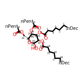 CCCCCCCCCCCCCCCC(=O)O[C@@H]1[C@H](OC(=O)CCCCCCCCCCCCCCC)[C@@H](O)O[C@H](COC(=O)CCCCC)[C@H]1OC(=O)CCCCC